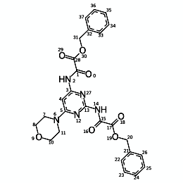 O=C(Nc1cc(N2CCOCC2)nc(NC(=O)C(=O)OCc2ccccc2)n1)C(=O)OCc1ccccc1